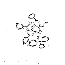 C=CCOC1O[C@H](COC(c2ccccc2)(c2ccccc2)c2ccccc2)[C@@H](OC(=O)c2ccccc2)[C@H](OC(=O)c2ccccc2)[C@H]1OC(=O)c1ccccc1